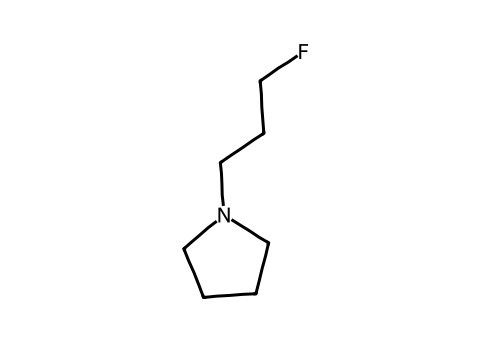 FCCCN1CCCC1